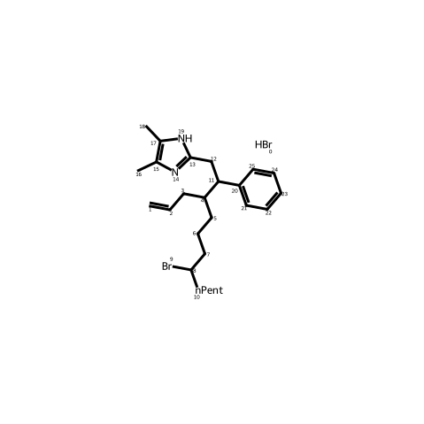 Br.C=CCC(CCCC(Br)CCCCC)C(Cc1nc(C)c(C)[nH]1)c1ccccc1